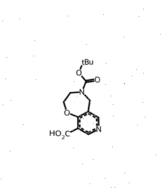 CC(C)(C)OC(=O)N1CCOc2c(cncc2C(=O)O)C1